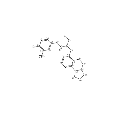 CCN(Cc1cccc2c1CCC1CCCC21)SCc1ccc(C)c(Cl)c1